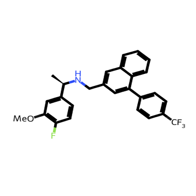 COc1cc([C@@H](C)NCc2cc(-c3ccc(C(F)(F)F)cc3)c3ccccc3c2)ccc1F